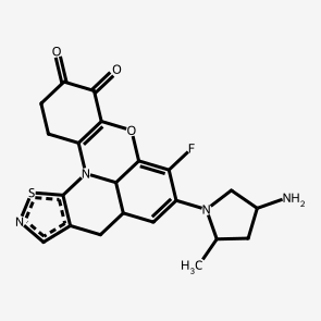 CC1CC(N)CN1C1=CC2Cc3cnsc3N3C4=C(OC(=C1F)C23)C(=O)C(=O)CC4